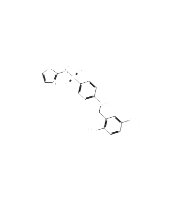 O=[N+]([O-])c1ccc(O)c(CNc2ccc(S(=O)(=O)Nc3nccs3)cc2)c1